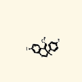 CO/C=C1\c2ccc(F)cc2C=CC1(C)c1ccc(F)cc1